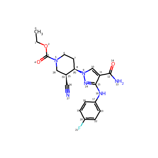 CCOC(=O)N1CC[C@@H](n2cc(C(N)=O)c(Nc3ccc(F)cc3)n2)[C@@H](C#N)C1